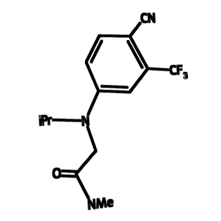 CNC(=O)CN(c1ccc(C#N)c(C(F)(F)F)c1)C(C)C